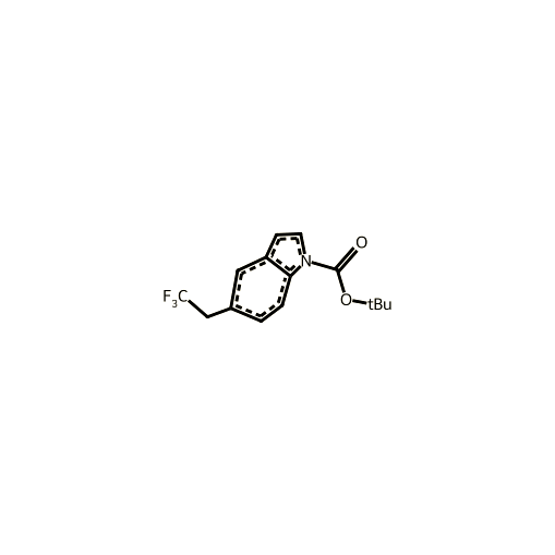 CC(C)(C)OC(=O)n1ccc2cc(CC(F)(F)F)ccc21